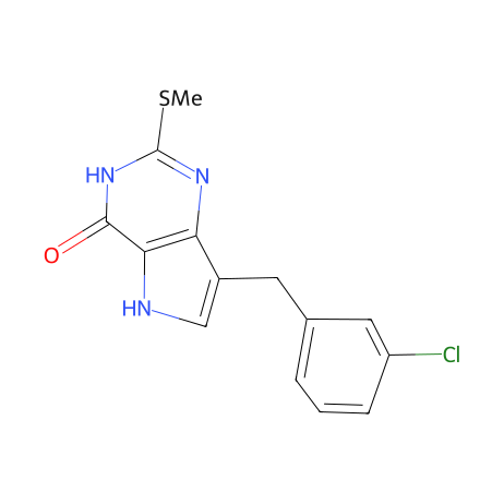 CSc1nc2c(Cc3cccc(Cl)c3)c[nH]c2c(=O)[nH]1